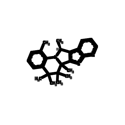 Cc1cccc2c1N1[C@@H](C)c3c(sc4ncccc34)C1(C)C(C)(C)C2(C)C